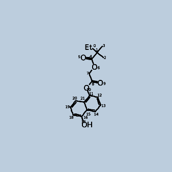 CCC(C)(C)C(=O)OCC(=O)Oc1cccc2c(O)cccc12